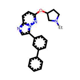 CCN1CCC(Oc2ccc3ncc(-c4cccc(-c5ccccc5)c4)n3n2)C1